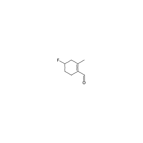 CC1=C(C=O)CCC(F)C1